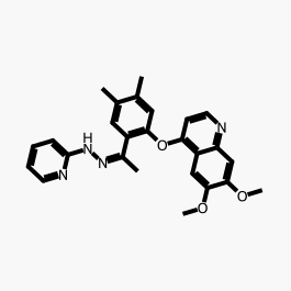 COc1cc2nccc(Oc3cc(C)c(C)cc3/C(C)=N\Nc3ccccn3)c2cc1OC